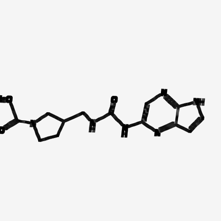 COC(=O)N1CCC(CNC(=O)Nc2cnc3[nH]ccc3n2)C1